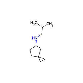 CC(C)CN[C@@H]1CCC2(CC2)C1